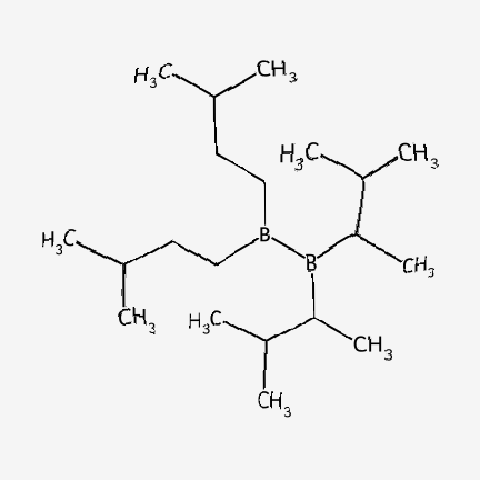 CC(C)CCB(CCC(C)C)B(C(C)C(C)C)C(C)C(C)C